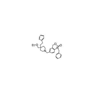 CCOCC1(CCc2ccccc2)CCN(Cc2ccc3c(c2)COC(=O)N3Cc2ccccc2)CC1